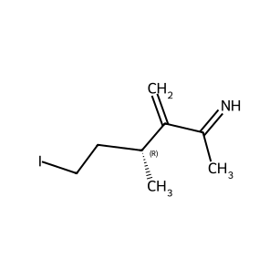 C=C(C(C)=N)[C@H](C)CCI